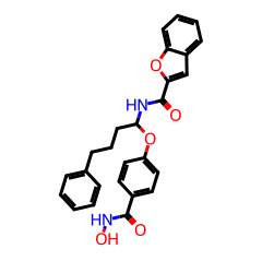 O=C(NO)c1ccc(OC(CCCc2ccccc2)NC(=O)c2cc3ccccc3o2)cc1